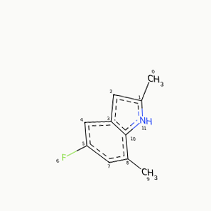 Cc1cc2cc(F)cc(C)c2[nH]1